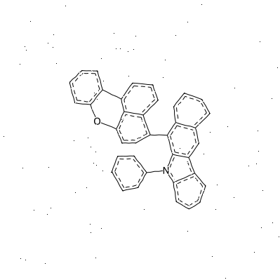 c1ccc(-n2c3ccccc3c3cc4ccccc4c(-c4ccc5c6c(cccc46)-c4ccccc4O5)c32)cc1